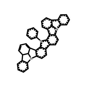 C1=CC2c3ccccc3N3c4ccc5c6ccc7c(c8cccc9c%10ccccc%10n7c98)c6n(-c6ccccc6)c5c4C(=C1)C23